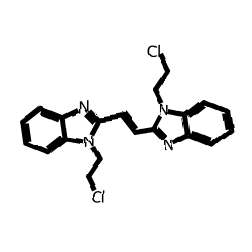 ClCCn1c(C=Cc2nc3ccccc3n2CCCl)nc2ccccc21